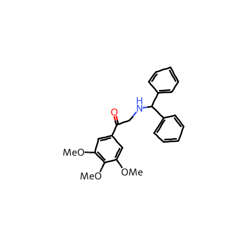 COc1cc(C(=O)CNC(c2ccccc2)c2ccccc2)cc(OC)c1OC